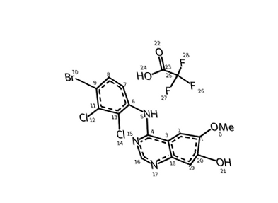 COc1cc2c(Nc3ccc(Br)c(Cl)c3Cl)ncnc2cc1O.O=C(O)C(F)(F)F